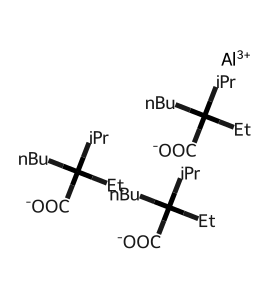 CCCCC(CC)(C(=O)[O-])C(C)C.CCCCC(CC)(C(=O)[O-])C(C)C.CCCCC(CC)(C(=O)[O-])C(C)C.[Al+3]